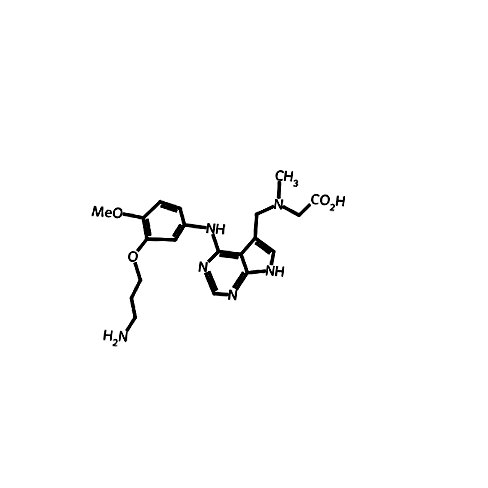 COc1ccc(Nc2ncnc3[nH]cc(CN(C)CC(=O)O)c23)cc1OCCCN